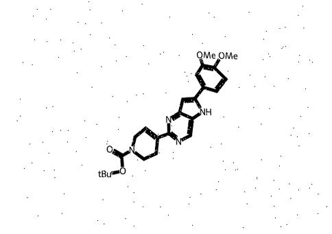 COc1ccc(-c2cc3nc(C4=CCN(C(=O)OC(C)(C)C)CC4)ncc3[nH]2)cc1OC